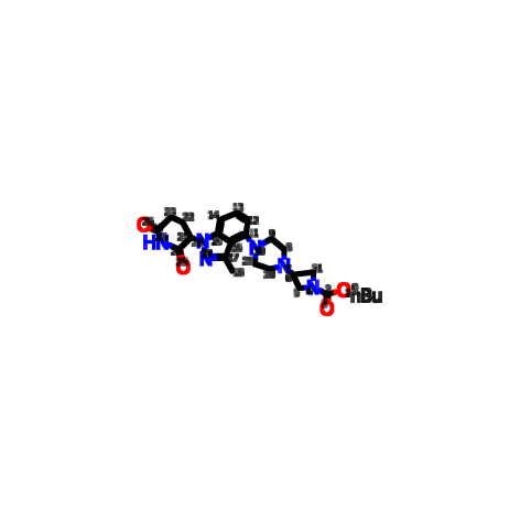 CCCCOC(=O)N1CC(N2CCN(c3cccc4c3c(C)nn4C3CCC(=O)NC3=O)CC2)C1